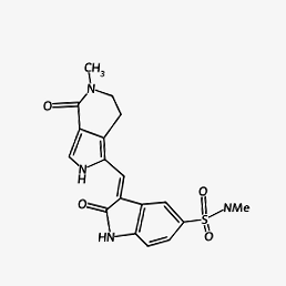 CNS(=O)(=O)c1ccc2c(c1)C(=Cc1[nH]cc3c1CCN(C)C3=O)C(=O)N2